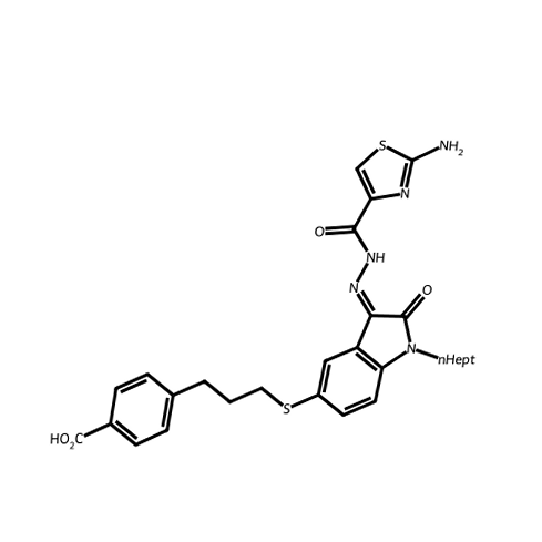 CCCCCCCN1C(=O)C(=NNC(=O)c2csc(N)n2)c2cc(SCCCc3ccc(C(=O)O)cc3)ccc21